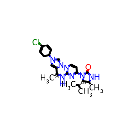 CC(C)[C@H]1C(C)NC(=O)N1c1ccnc(N[C@@H](C)c2cn(C3C=CC(Cl)=CC3)cn2)n1